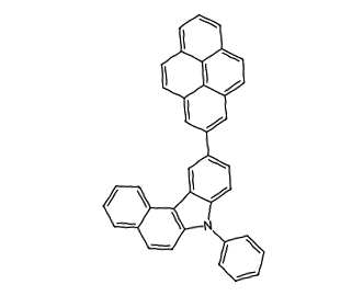 c1ccc(-n2c3ccc(-c4cc5ccc6cccc7ccc(c4)c5c67)cc3c3c4ccccc4ccc32)cc1